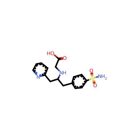 NS(=O)(=O)c1ccc(CC(Cc2ccccn2)NCC(=O)O)cc1